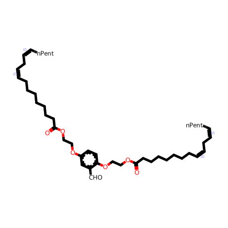 CCCCC/C=C\C/C=C\CCCCCCCC(=O)OCCOc1ccc(OCCOC(=O)CCCCCCC/C=C\C/C=C\CCCCC)c(C=O)c1